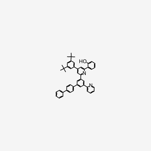 CC(C)(C)c1cc(-c2cc(-c3cc(-c4ccc(-c5ccccc5)cc4)cc(-c4ccccn4)c3)nc(-c3ccccc3O)c2)cc(C(C)(C)C)c1